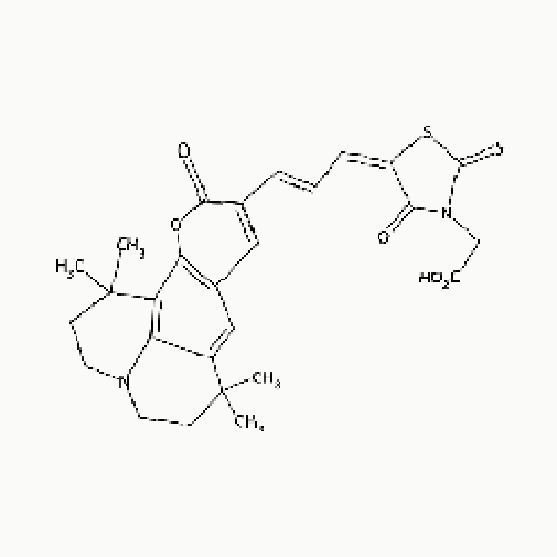 CC1(C)CCN2CCC(C)(C)c3c2c1cc1cc(C=CC=C2SC(=S)N(CC(=O)O)C2=O)c(=O)oc31